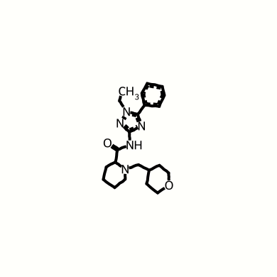 CCn1nc(NC(=O)C2CCCCN2CC2CCOCC2)nc1-c1ccccc1